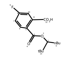 CCCCC(OC(=O)c1ccc(F)cc1C(=O)O)C(C)(C)C